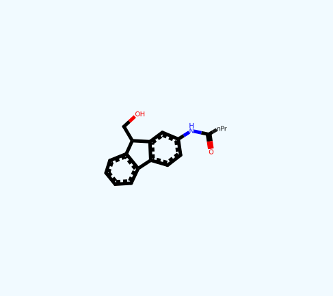 CCCC(=O)Nc1ccc2c(c1)C(CO)c1ccccc1-2